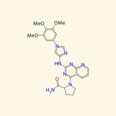 COc1cc(-n2cnc(Nc3nc(N4CCCC4C(N)=O)c4cccnc4n3)c2)cc(OC)c1OC